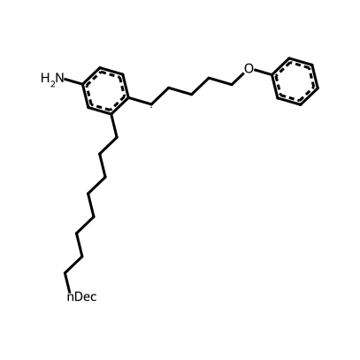 CCCCCCCCCCCCCCCCCCc1cc(N)ccc1[CH]CCCCOc1ccccc1